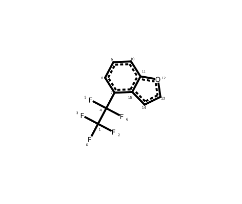 FC(F)(F)C(F)(F)c1cccc2oc[c]c12